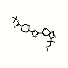 COCC(C)(C)n1ncc2ccc(-c3noc(C4CCN(C(=O)OC(C)(C)C)CC4)n3)cc21